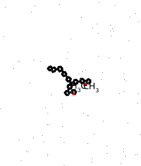 CC1(C)c2ccccc2-c2ccc(-c3ccc(N(c4ccc(-c5ccc(-c6cccc(-c7ccc8ccccc8c7)c6)cc5)cc4)c4ccc(-c5ccccc5-c5ccccc5)cc4)cc3)cc21